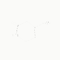 COC1CCNC(=O)C1